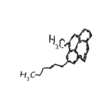 CCCCCCc1cc2ccc3cccc4cc(C)c(c1)c2c34